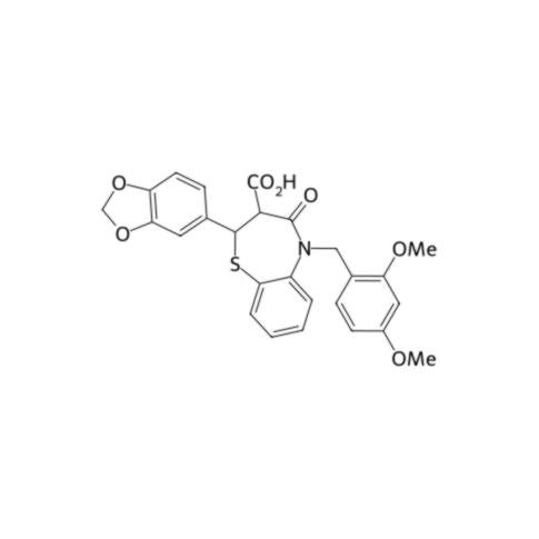 COc1ccc(CN2C(=O)C(C(=O)O)C(c3ccc4c(c3)OCO4)Sc3ccccc32)c(OC)c1